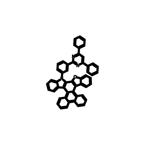 c1ccc(-c2cc(-c3ccccc3)nc(-c3cccc(-n4c5ccccc5c5c6c7ccccc7c7ccccc7c6c6c7ccccc7oc6c54)c3)n2)cc1